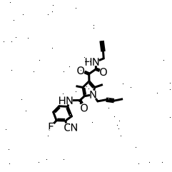 C#CCNC(=O)C(=O)c1c(C)c(C(=O)Nc2ccc(F)c(C#N)c2)n(CC#CC)c1C